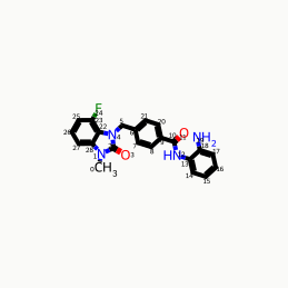 Cn1c(=O)n(Cc2ccc(C(=O)Nc3ccccc3N)cc2)c2c(F)cccc21